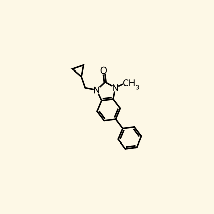 Cn1c(=O)n(CC2CC2)c2ccc(-c3ccccc3)cc21